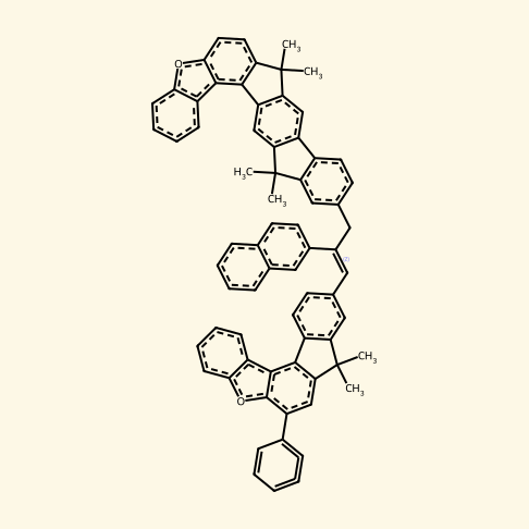 CC1(C)c2cc(C/C(=C/c3ccc4c(c3)C(C)(C)c3cc(C5=C=C=CC=C5)c5oc6ccccc6c5c3-4)c3ccc4ccccc4c3)ccc2-c2cc3c(cc21)-c1c(ccc2oc4ccccc4c12)C3(C)C